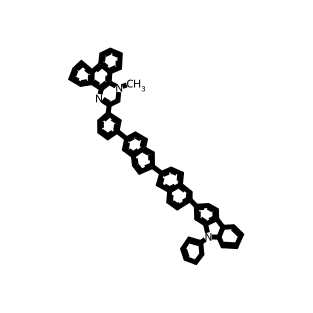 CN1CC(c2cccc(-c3ccc4cc(-c5ccc6cc(-c7ccc8c(c7)N(C7=CC=CCC7)C7C=CC=CC87)ccc6c5)ccc4c3)c2)=Nc2c1c1ccccc1c1ccccc21